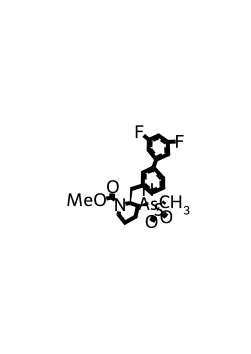 COC(=O)N1CCC[C@H]([AsH]S(C)(=O)=O)[C@@H]1Cc1cccc(-c2cc(F)cc(F)c2)c1